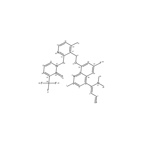 C=C/C=C(/c1cc(C)nc2c(OCc3c(C)ccnc3Cn3cccc(C(F)(F)F)c3=O)cc(F)cc12)N(C)C